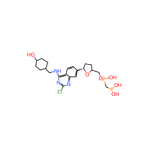 OC1CCC(CNc2nc(Cl)nc3cc([C@H]4CCC(COP(O)CP(O)O)O4)ccc23)CC1